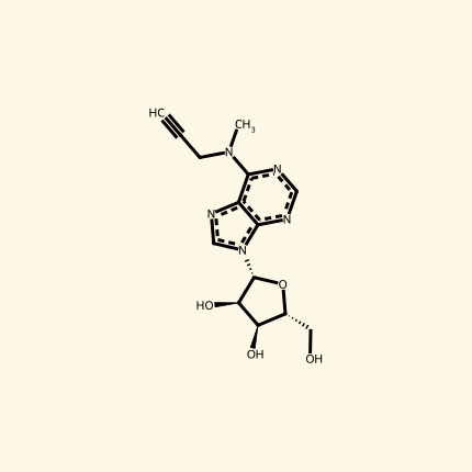 C#CCN(C)c1ncnc2c1ncn2[C@@H]1O[C@H](CO)[C@@H](O)[C@H]1O